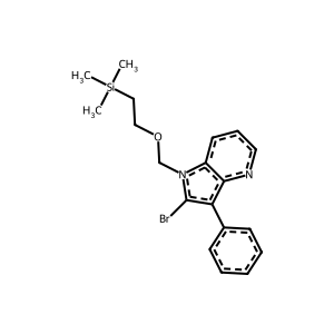 C[Si](C)(C)CCOCn1c(Br)c(-c2ccccc2)c2ncccc21